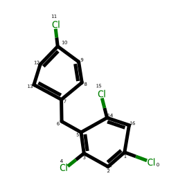 Clc1[c]c(Cl)c(Cc2ccc(Cl)cc2)c(Cl)c1